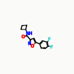 O=C(NC1CCC1)c1cc(-c2ccc(F)c(F)c2)on1